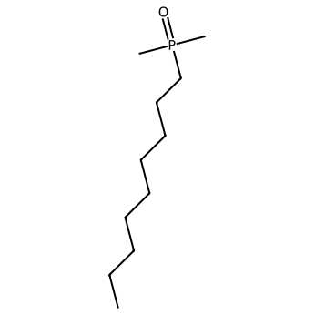 CCCCCCCCCP(C)(C)=O